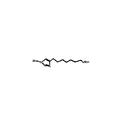 CCCCCCCCCCCCCCCCc1cn(C(C)CC)nn1